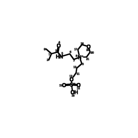 CC(C)C(=O)NCC[N+]1(CCCOS(=O)(=O)O)CCOCC1